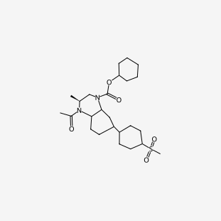 CC(=O)N1C2CCC(C3CCC(S(C)(=O)=O)CC3)CC2N(C(=O)OC2CCCCC2)C[C@@H]1C